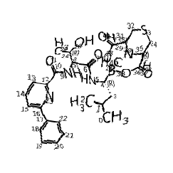 CC(C)C[C@H](NC(=O)[C@@H](NC(=O)c1cccc(-c2ccccc2)n1)[C@@H](C)O)B1OC(=O)[C@H]2CSC[C@@H](C(=O)O1)N2C